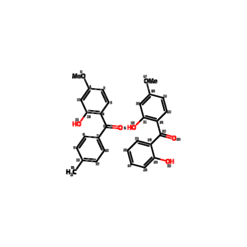 COc1ccc(C(=O)c2ccc(C)cc2)c(O)c1.COc1ccc(C(=O)c2ccccc2O)c(O)c1